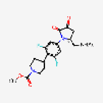 CC(=O)NC[C@@H]1CC(=O)C(=O)N1c1cc(F)c(C2CCN(C(=O)OC(C)(C)C)CC2)c(F)c1